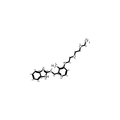 Cc1c(SCCOCCOCC(F)(F)F)ccnc1CSc1nc2ccccc2[nH]1